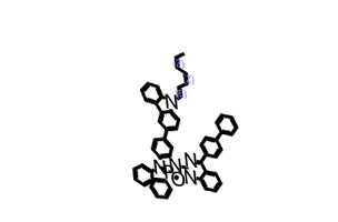 C\C=C/C=C\C=C\n1c2ccccc2c2cc(-c3ccc4c(c3)N(c3nc(-c5ccc(-c6ccccc6)cc5)c5ccccc5n3)P(=O)(c3ccccc3)N4c3ccccc3)ccc21